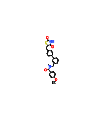 CCOc1ccc(C(=O)N(C)Cc2cccc(-c3ccc(CC4SC(=O)NC4=O)cc3)c2)cc1